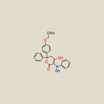 CCCN(C1=C(O)CC(c2ccccc2)(c2ccc(OCOC)cc2)OC1=O)c1ccccc1